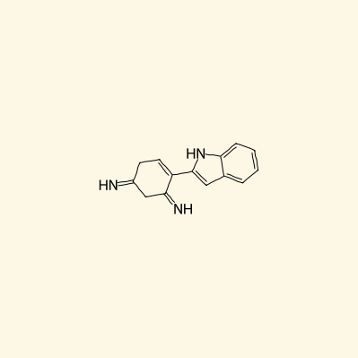 N=C1CC=C(c2cc3ccccc3[nH]2)C(=N)C1